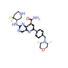 C[C@@H]1COC[C@H](C)N1Cc1ccc(-c2cc(C(N)=O)c3nc(N[C@@H]4CNCCC4(F)F)ncc3n2)cc1